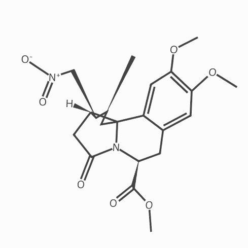 COC(=O)[C@@H]1Cc2cc(OC)c(OC)cc2C23C[C@H](C)[C@@H](C[N+](=O)[O-])[C@@H]2CC(=O)N13